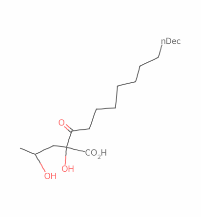 CCCCCCCCCCCCCCCCCC(=O)C(O)(CC(C)O)C(=O)O